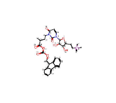 C=P(C)(C)CCC1OC(n2ccc(=O)n(CCC(C)C(=O)OC(=O)OCC3c4ccccc4-c4ccccc43)c2=O)[C@H](O)[C@@H]1O